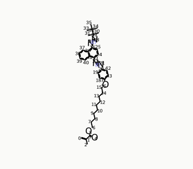 C=C(C)C(=O)OCCCCCCCCCCOc1ccc(/N=N/c2ccc(/N=N/C(C)(C)C(C)(C)C)c3ccccc23)cc1